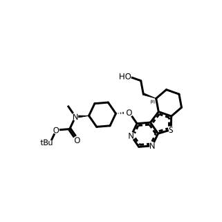 CN(C(=O)OC(C)(C)C)[C@H]1CC[C@H](Oc2ncnc3sc4c(c23)[C@@H](CCO)CCC4)CC1